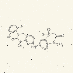 CN1C(=O)CS(=O)(=O)c2cc(Nc3ncc4c(n3)N(C)C(=O)N(c3c(F)cccc3Br)C4)ccc21